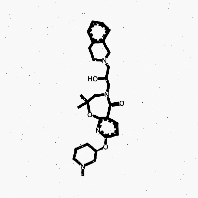 CN1CCC[C@@H](Oc2ccc3c(n2)OC(C)(C)CN(CC(O)CN2CCc4ccccc4C2)C3=O)C1